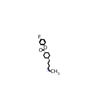 C/C=C\CCC[C@H]1CC[C@H](C(=O)Oc2ccc(F)cc2)CC1